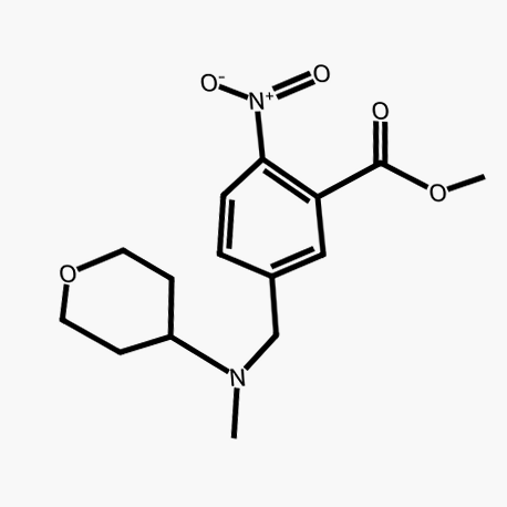 COC(=O)c1cc(CN(C)C2CCOCC2)ccc1[N+](=O)[O-]